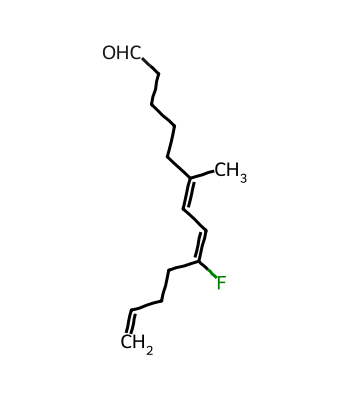 C=CCC/C(F)=C\C=C(/C)CCCCC=O